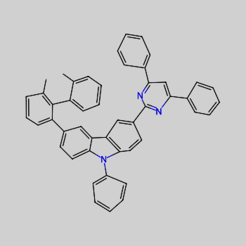 Cc1ccccc1-c1c(C)cccc1-c1ccc2c(c1)c1cc(-c3nc(-c4ccccc4)cc(-c4ccccc4)n3)ccc1n2-c1ccccc1